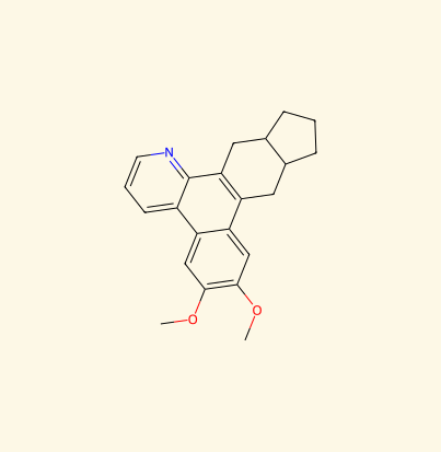 COc1cc2c3c(c4ncccc4c2cc1OC)CC1CCCC1C3